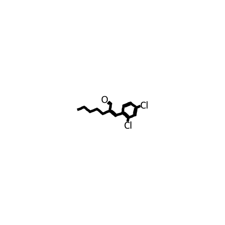 CCCCCC(C=O)=Cc1ccc(Cl)cc1Cl